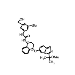 COC(C)(C)c1nnc2ccc(O[C@@H]3CC[C@H](NC(=O)Nc4cc(C(C)(C)C)nc(CO)n4)c4ccccc43)cn12